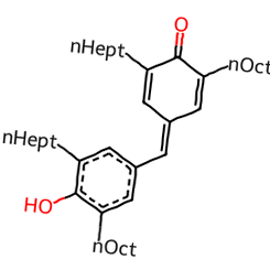 CCCCCCCCC1=CC(=Cc2cc(CCCCCCC)c(O)c(CCCCCCCC)c2)C=C(CCCCCCC)C1=O